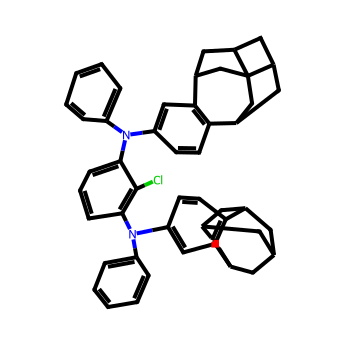 Clc1c(N(c2ccccc2)c2ccc3c(c2)C2CC4CC(CC3C4)C2)cccc1N(c1ccccc1)c1ccc2c(c1)C1CC3CC4CC2CC43C1